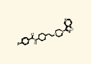 O=C(NC1CCC(CCN2CCN(c3noc4ccncc34)CC2)CC1)c1ccc(F)cc1